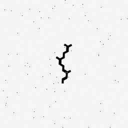 CC=CC(C)=CCC=C(C)CCC=C(C)C